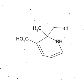 CC1(CCl)NC=CC=C1C(=O)O